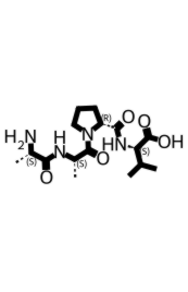 CC(C)[C@H](NC(=O)[C@H]1CCCN1C(=O)[C@H](C)NC(=O)[C@H](C)N)C(=O)O